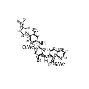 CCc1cc(Nc2ncc(Br)c(Nc3ccc4nccnc4c3N(C)SC)n2)c(OC)cc1N1CCC(N(C)C)C1